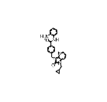 Nc1ccccc1NC(=O)c1ccc(Cn2c(=O)n(CC3CC3)c3cccnc32)cc1